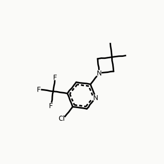 CC1(C)CN(c2cc(C(F)(F)F)c(Cl)cn2)C1